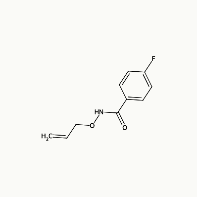 C=CCONC(=O)c1ccc(F)cc1